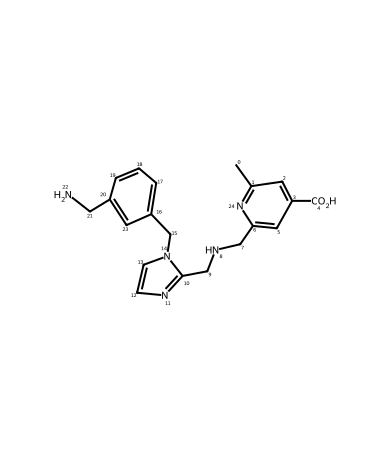 Cc1cc(C(=O)O)cc(CNCc2nccn2Cc2cccc(CN)c2)n1